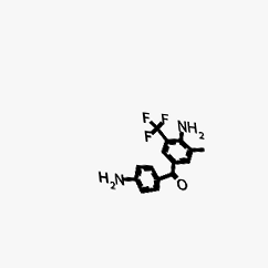 Cc1cc(C(=O)c2ccc(N)cc2)cc(C(F)(F)F)c1N